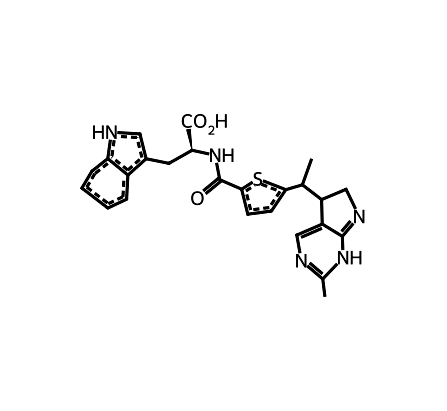 CC1=NC=C2C(=NCC2C(C)c2ccc(C(=O)N[C@@H](Cc3c[nH]c4ccccc34)C(=O)O)s2)N1